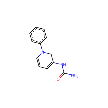 NC(=O)NC1=CC=CN(c2ccccc2)C1